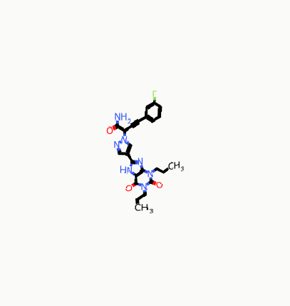 CCCn1c(=O)c2[nH]c(-c3cnn(C(C#Cc4cccc(F)c4)C(N)=O)c3)nc2n(CCC)c1=O